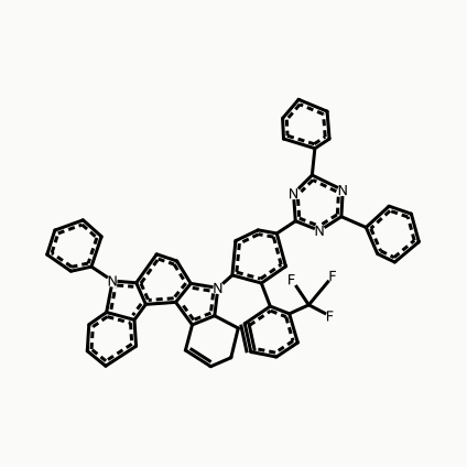 FC(F)(F)c1ccc#cc1-c1cc(-c2nc(-c3ccccc3)nc(-c3ccccc3)n2)ccc1-n1c2c(c3c4c5ccccc5n(-c5ccccc5)c4ccc31)C=CCC2